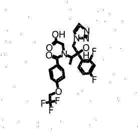 CC(N(CC(=O)O)C(=O)c1ccc(OCC(F)(F)F)cc1)C(O)(Cn1ccnn1)c1ccc(F)cc1F